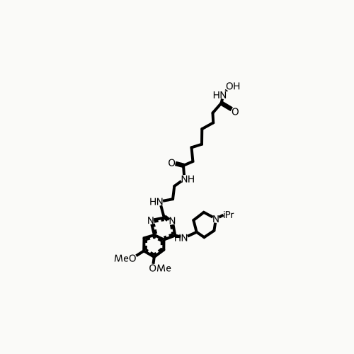 COc1cc2nc(NCCNC(=O)CCCCCCC(=O)NO)nc(NC3CCN(C(C)C)CC3)c2cc1OC